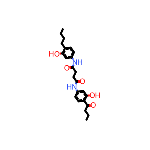 CCCCc1ccc(NC(=O)CCC(=O)Nc2ccc(C(=O)CCC)c(O)c2)cc1O